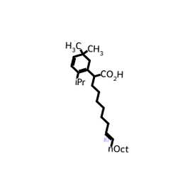 CCCCCCCC/C=C/CCCCCCC(C(=O)O)C1=C(C(C)C)C=CC(C)(C)C1